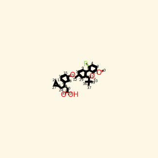 COc1ccc(F)c(-c2ccc(COc3cccc([C@@H](CC(=O)O)CC4CC4)c3)cc2C(OC)C(C)(C)C)c1